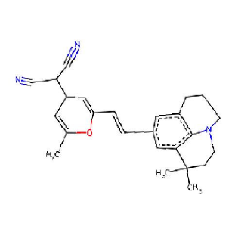 CC1=CC(C(C#N)C#N)C=C(/C=C/c2cc3c4c(c2)C(C)(C)CCN4CCC3)O1